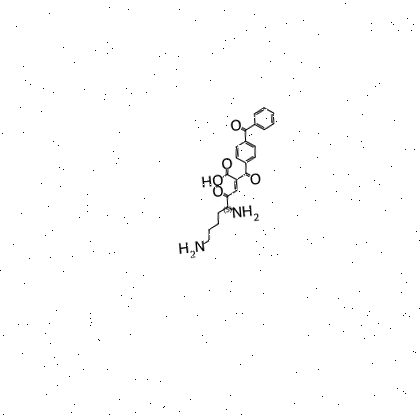 NCCCC[C@H](N)C(=O)C=C(C(=O)O)C(=O)c1ccc(C(=O)c2ccccc2)cc1